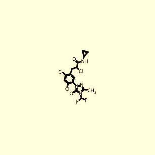 Cc1nn(-c2cc(CC(Cl)C(=O)NC3CC3)c(Cl)cc2Cl)c(=O)n1C(F)F